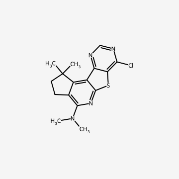 CN(C)c1nc2sc3c(Cl)ncnc3c2c2c1CCC2(C)C